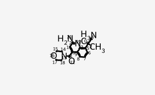 CC(C)(C#N)c1cccc2c(C(=O)N3CCOCC3)cc(N)nc12